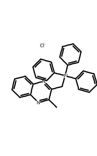 Cc1nc2ccccc2nc1C[P+](c1ccccc1)(c1ccccc1)c1ccccc1.[Cl-]